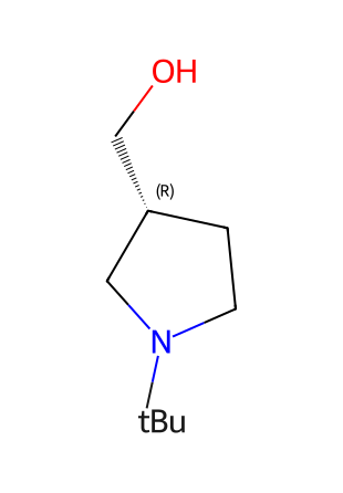 CC(C)(C)N1CC[C@@H](CO)C1